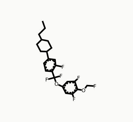 CCCC1CCC(c2ccc(C(F)(F)Oc3cc(F)c(OCF)c(F)c3)c(F)c2)CC1